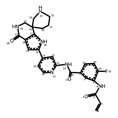 C=CC(=O)Nc1cc(C(=O)Nc2cc(-c3cc4c([nH]3)C3(CCCNC3)CNC4=O)ccn2)ccc1F